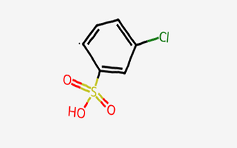 O=S(=O)(O)c1[c]ccc(Cl)c1